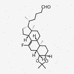 C[C@H](CCCC=O)[C@H]1CC[C@H]2C3=C(F)C[C@H]4[C@H]5OC(C)(C)O[C@H]5CC[C@]4(C)[C@H]3CC[C@]12C